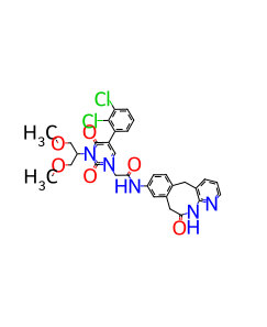 COCC(COC)n1c(=O)c(-c2cccc(Cl)c2Cl)cn(CC(=O)Nc2ccc3c(c2)CC(=O)Nc2ncccc2C3)c1=O